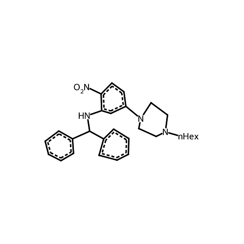 CCCCCCN1CCN(c2ccc([N+](=O)[O-])c(NC(c3ccccc3)c3ccccc3)c2)CC1